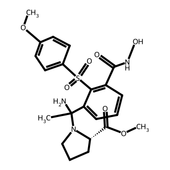 COC(=O)[C@@H]1CCCN1C(C)(N)c1cccc(C(=O)NO)c1S(=O)(=O)c1ccc(OC)cc1